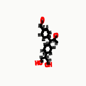 CC(=O)C(c1ccc([C]=O)cc1)c1ccc(C(CO)CO)cc1